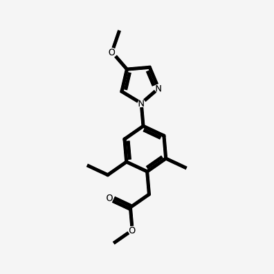 CCc1cc(-n2cc(OC)cn2)cc(C)c1CC(=O)OC